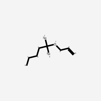 [2H]C([2H])(CCCC)O[CH]C=C